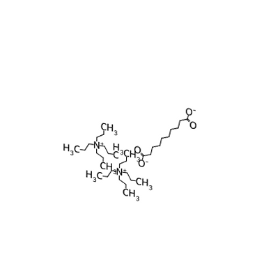 CCC[N+](CCC)(CCC)CCC.CCC[N+](CCC)(CCC)CCC.O=C([O-])CCCCCCCCC(=O)[O-]